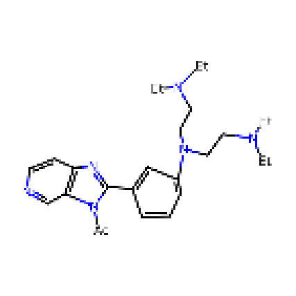 CCN(CC)CCN(CCN(CC)CC)c1cccc(-c2nc3ccncc3n2C(C)=O)c1